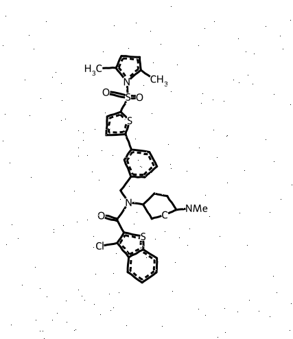 CNC1CCC(N(Cc2cccc(-c3ccc(S(=O)(=O)n4c(C)ccc4C)s3)c2)C(=O)c2sc3ccccc3c2Cl)CC1